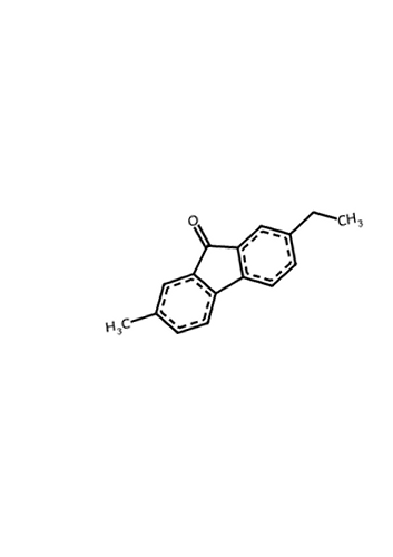 CCc1ccc2c(c1)C(=O)c1cc(C)ccc1-2